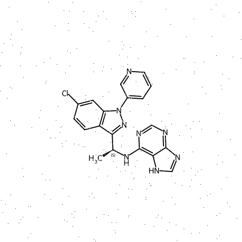 C[C@H](Nc1ncnc2nc[nH]c12)c1nn(-c2cccnc2)c2cc(Cl)ccc12